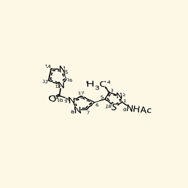 CC(=O)Nc1nc(C)c(-c2cnn(C(=O)n3ccnc3)c2)s1